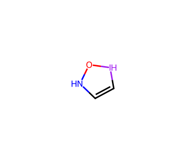 C1=C[IH]ON1